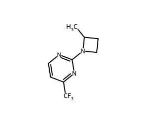 CC1CCN1c1nccc(C(F)(F)F)n1